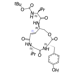 CC(C)[C@@H]1NC(=O)/C=C/[C@@H](NC(=O)[C@@H](NC(=O)OC(C)(C)C)C(C)C)COC(=O)[C@H](Cc2ccc(O)cc2)NC1=O